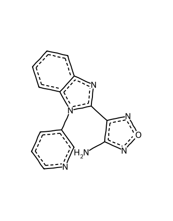 Nc1nonc1-c1nc2ccccc2n1-c1cccnc1